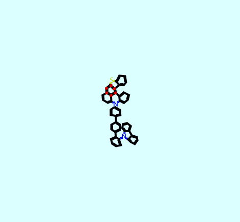 c1ccc(N(c2ccc(-c3ccc(-c4ccccc4-n4c5ccccc5c5ccccc54)cc3)cc2)c2cccc3ccccc23)c(-c2cccc3sc4ccccc4c23)c1